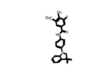 CC1(C)CN(c2ccc(NC(=O)c3cc(F)c(O)c(C=O)c3)cc2)c2ccccc21